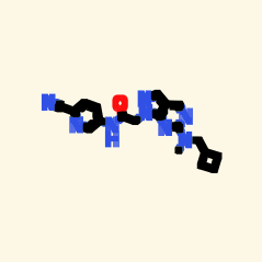 CN(CC1CCC1)c1ncc2cnn(CC(=O)Nc3ccc(C#N)nc3)c2n1